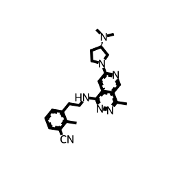 Cc1c(C#N)cccc1CCNc1nnc(C)c2cnc(N3CC[C@H](N(C)C)C3)cc12